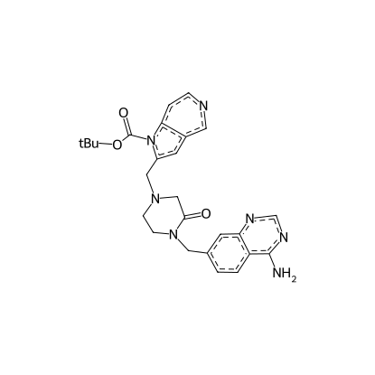 CC(C)(C)OC(=O)n1c(CN2CCN(Cc3ccc4c(N)ncnc4c3)C(=O)C2)cc2cnccc21